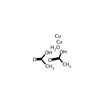 CC(=O)O.CC(=O)O.O.[Cu].[Cu]